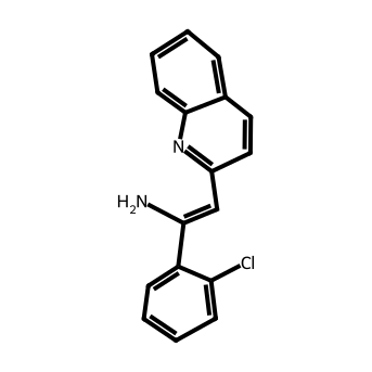 NC(=Cc1ccc2ccccc2n1)c1ccccc1Cl